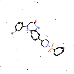 N#Cc1cccc(C2=Nc3ccc(C4=CCN(S(=O)(=O)c5ccccc5)CC4)cc3NC(=O)C2)c1